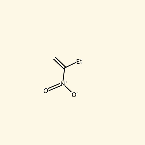 C=C(CC)[N+](=O)[O-]